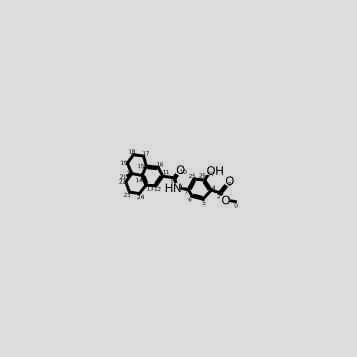 COC(=O)c1ccc(NC(=O)c2cc3c4c(c2)CCCC4(C)CCC3)cc1O